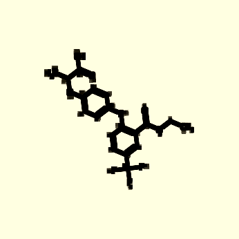 CCOC(=O)c1cc(C(F)(F)F)ccc1Sc1ccc(OC(C)C(=O)O)cc1